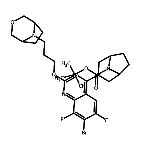 CC(C)(C)OC(=O)N1C2CCC1CN(c1nc(OCCCN3C4CCC3COC4)nc3c(F)c(Br)c(F)cc13)C2